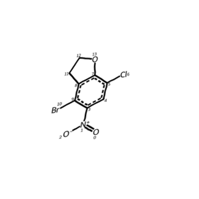 O=[N+]([O-])c1cc(Cl)c2c(c1Br)CCO2